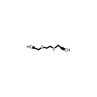 C#CCSCCSCC#C